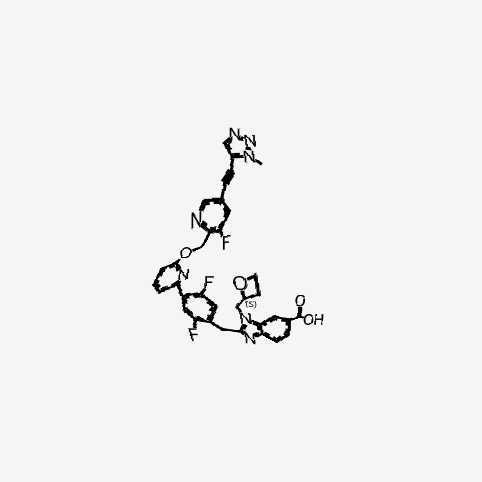 Cn1nncc1C#Cc1cnc(COc2cccc(-c3cc(F)c(Cc4nc5ccc(C(=O)O)cc5n4C[C@@H]4CCO4)cc3F)n2)c(F)c1